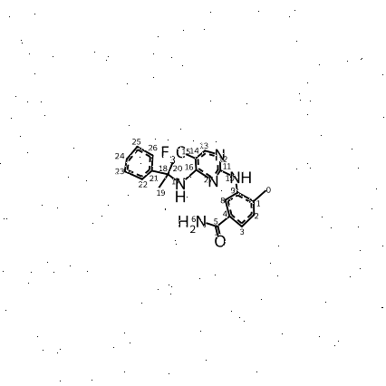 Cc1ccc(C(N)=O)cc1Nc1ncc(C(F)(F)F)c(NC(C)(C)c2ccccc2)n1